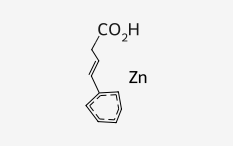 O=C(O)CC=Cc1ccccc1.[Zn]